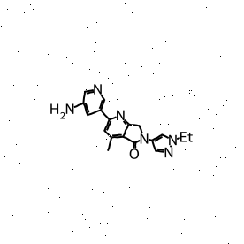 CCn1cc(N2Cc3nc(-c4cncc(N)c4)cc(C)c3C2=O)cn1